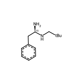 CC(C)(C)CN[C@H](N)Cc1ccccc1